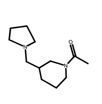 CC(=O)N1CCCC(CN2CCCC2)C1